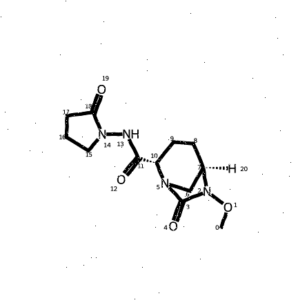 CON1C(=O)N2C[C@H]1CC[C@H]2C(=O)NN1CCCC1=O